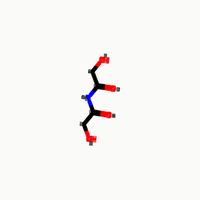 O=C(CO)[N]C(=O)CO